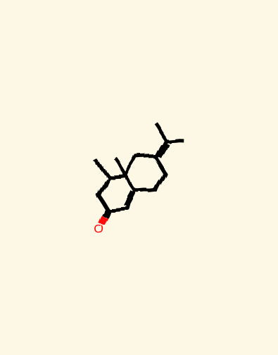 CC(C)=C1CCC2=CC(=O)CC(C)C2(C)C1